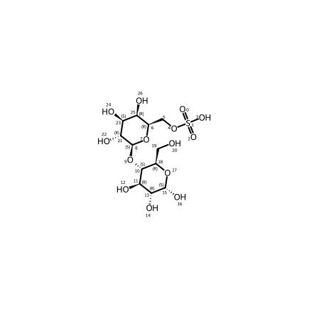 O=S(=O)(O)OC[C@H]1O[C@@H](O[C@H]2[C@H](O)[C@@H](O)[C@@H](O)O[C@@H]2CO)[C@H](O)[C@@H](O)[C@H]1O